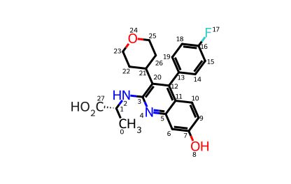 C[C@@H](Nc1nc2cc(O)ccc2c(-c2ccc(F)cc2)c1C1CCOCC1)C(=O)O